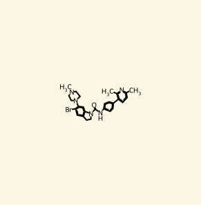 Cc1ccc(-c2ccc(NC(=O)N3CCc4cc(Br)c(N5CCN(C)CC5)cc43)cc2)c(C)n1